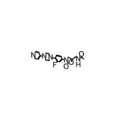 CC(=O)NCC1CN(c2ccc(N3CCN(c4ccncc4)CC3)c(F)c2)C(=O)O1